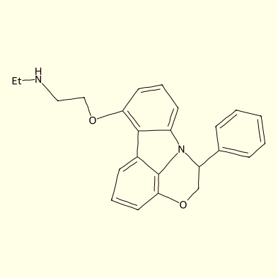 CCNCCOc1cccc2c1c1cccc3c1n2C(c1ccccc1)CO3